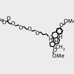 COCOc1ccc2c(c1)C[C@@H](CCCCOCCOCCOCCOCC(=O)OC(C)(C)C)[C@@H]1[C@@H]2CC[C@]2(C)[C@@H](OCOC)CC[C@@H]12